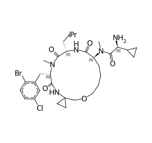 CC(C)C[C@@H]1NC(=O)[C@@H](N(C)C(=O)[C@@H](N)C2CC2)CCCCOCC2(CC2)NC(=O)[C@H](Cc2cc(Cl)ccc2Br)N(C)C1=O